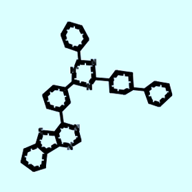 c1ccc(-c2ccc(-c3nc(-c4ccccc4)nc(-c4cccc(-c5ncnc6c5sc5ccccc56)c4)n3)cc2)cc1